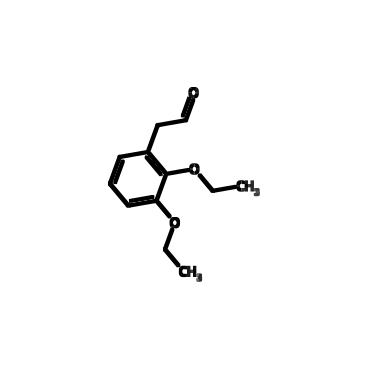 CCOc1cccc(CC=O)c1OCC